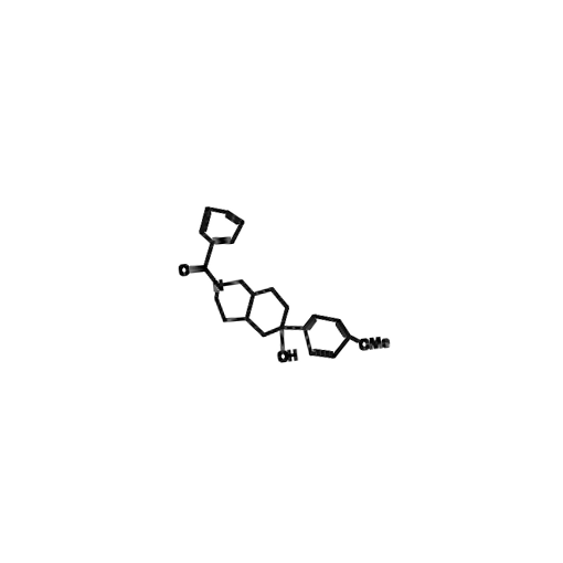 COc1ccc(C2(O)CCC3CN(C(=O)c4ccccc4)CCC3C2)cc1